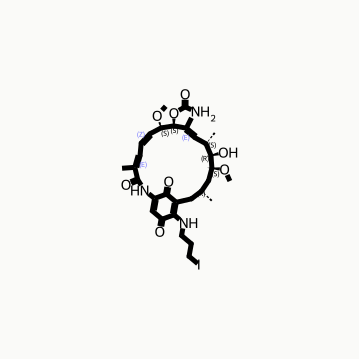 CO[C@H]1/C=C\C=C(/C)C(=O)NC2=CC(=O)C(NCCCI)=C(C[C@@H](C)C[C@H](OC)[C@H](O)[C@@H](C)/C=C(\C)[C@@H]1OC(N)=O)C2=O